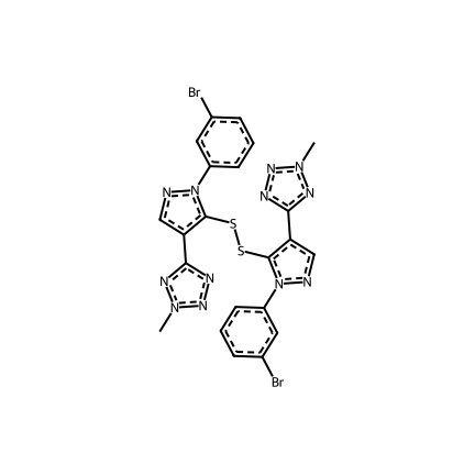 Cn1nnc(-c2cnn(-c3cccc(Br)c3)c2SSc2c(-c3nnn(C)n3)cnn2-c2cccc(Br)c2)n1